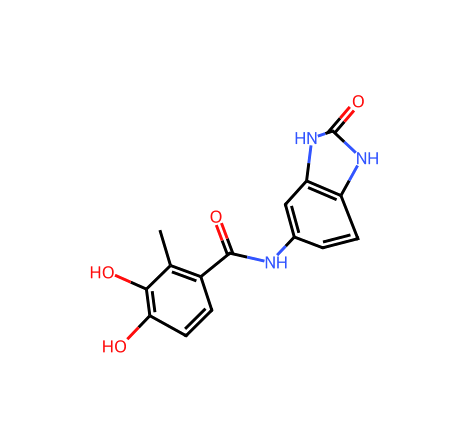 Cc1c(C(=O)Nc2ccc3[nH]c(=O)[nH]c3c2)ccc(O)c1O